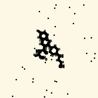 Cc1ccc2nc(N3CCC(NCCO)CC3)c(C(=O)NC(C)N)cc2c1